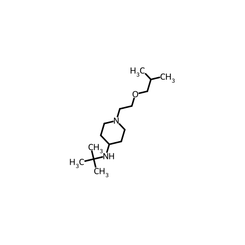 CC(C)COCCN1CCC(NC(C)(C)C)CC1